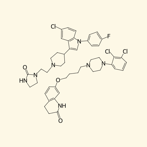 O=C1CCc2ccc(OCCCCN3CCN(c4cccc(Cl)c4Cl)CC3)cc2N1.O=C1NCCN1CCN1CCC(c2cn(-c3ccc(F)cc3)c3ccc(Cl)cc23)CC1